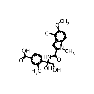 COc1ccc2c(cc(C(=O)NC(O)(CO)c3ccc(C(=O)O)cc3C)n2C)c1Cl